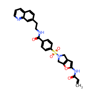 C=CC(=O)Nc1cc2c(o1)CN(S(=O)(=O)c1ccc(C(=O)NCCc3ccc4cccnc4c3)cc1)C2